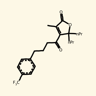 CCCC1(CCC)OC(=O)C(C)=C1C(=O)CCCc1ccc(C(F)(F)F)cc1